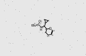 CC(C)(C)[S+]([O-])NC(C1CC1)C1CCC=CO1